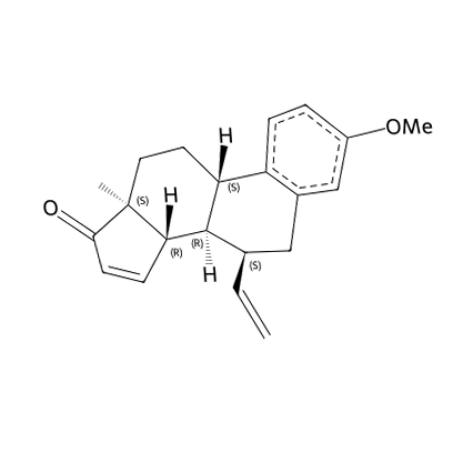 C=C[C@@H]1Cc2cc(OC)ccc2[C@H]2CC[C@]3(C)C(=O)C=C[C@H]3[C@H]12